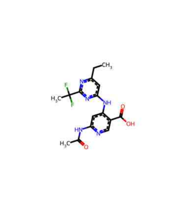 CCc1cc(Nc2cc(NC(C)=O)ncc2C(=O)O)nc(C(C)(F)F)n1